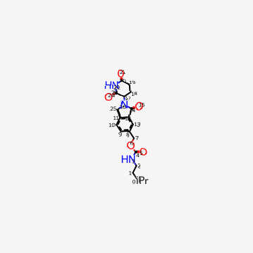 CC(C)CCNC(=O)OCc1ccc2c(c1)C(=O)N(C1CCC(=O)NC1=O)C2